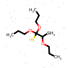 CCCOC([SiH3])C(S)(OCCC)OCCC